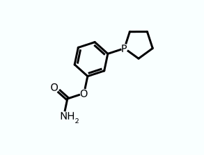 NC(=O)Oc1cccc(P2CCCC2)c1